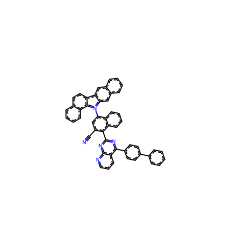 N#Cc1cc(-n2c3cc4ccccc4cc3c3ccc4ccccc4c32)c2ccccc2c1-c1nc(-c2ccc(-c3ccccc3)cc2)c2cccnc2n1